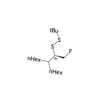 CCCCCCC(CCCCCC)[C@H](CF)SSC(C)(C)C